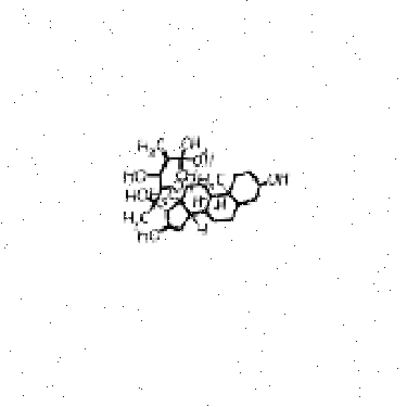 CC(C(O)C(O)C(C)(O)[C@H]1C(O)C[C@H]2[C@@H]3CCC4CC(O)CC[C@]4(C)[C@H]3CC[C@]12C)C(C)(C)O